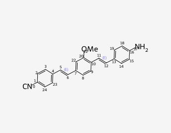 [C-]#[N+]c1ccc(/C=C/c2ccc(/C=C/c3ccc(N)cc3)c(OC)c2)cc1